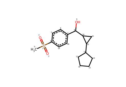 CS(=O)(=O)c1ccc(C(O)C2CC2C2CCCC2)cc1